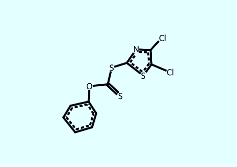 S=C(Oc1ccccc1)Sc1nc(Cl)c(Cl)s1